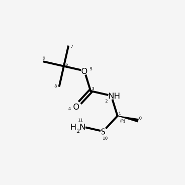 C[C@H](NC(=O)OC(C)(C)C)SN